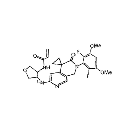 C=CC(=O)NC1COCC1Nc1cc2c(cn1)CN(c1c(F)c(OC)cc(OC)c1F)C(=O)C21CC1